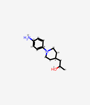 CC(O)CC1CCN(c2ccc(N)cc2)CC1